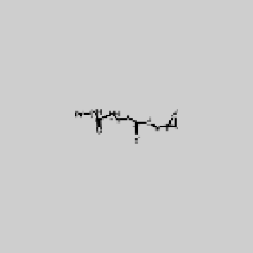 CC(C)NC(=O)NCCC(=O)OCC1CO1